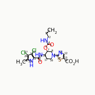 C=CCNC(=O)OC1CN(c2ncc(C(=O)O)s2)CCC1NC(=O)c1[nH]c(C)c(Cl)c1Cl